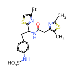 CCc1csc(C(Cc2ccc(NS(=O)(=O)O)cc2)NC(=O)Cc2nc(C)sc2C)n1